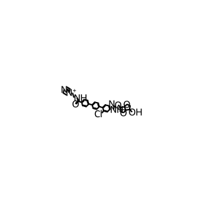 O=C(NCC[N+]12CCN(CC1)C2)c1ccc(-c2ccc(-c3cc4nc(OC5COC6C(O)COC56)[nH]c4cc3Cl)cc2)cc1